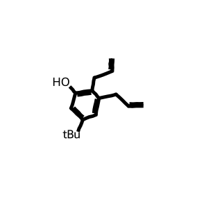 C=CCc1cc(C(C)(C)C)cc(O)c1CC=C